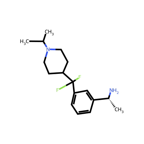 CC(C)N1CCC(C(F)(F)c2cccc([C@@H](C)N)c2)CC1